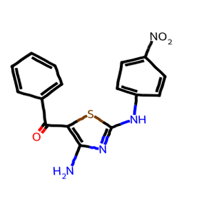 Nc1nc(Nc2ccc([N+](=O)[O-])cc2)sc1C(=O)c1ccccc1